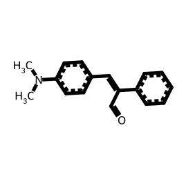 CN(C)c1ccc(/C=C(\C=O)c2ccccc2)cc1